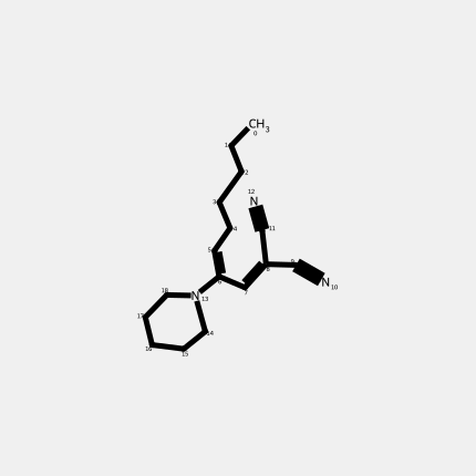 CCCCCC=C(C=C(C#N)C#N)N1CCCCC1